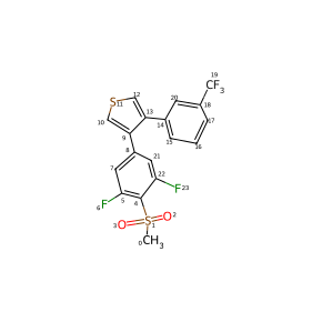 CS(=O)(=O)c1c(F)cc(-c2cscc2-c2cccc(C(F)(F)F)c2)cc1F